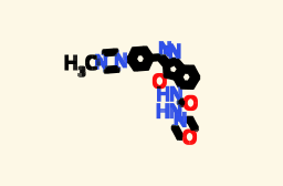 CN1CCN(c2ccc(C3=C4C(=O)c5c(NC(=O)NN6CCOCC6)cccc5C4N=N3)cc2)CC1